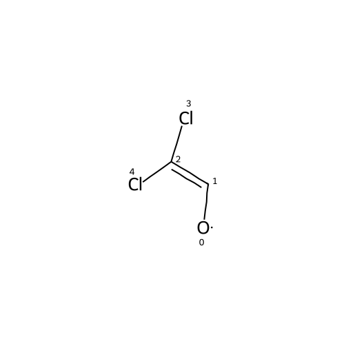 [O]C=C(Cl)Cl